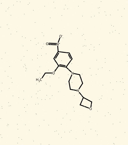 CCOc1cc([N+](=O)[O-])ccc1N1CCN(C2COC2)CC1